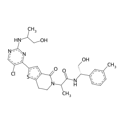 Cc1cccc([C@@H](CO)NC(=O)C(C)N2CCc3sc(-c4nc(NC(C)CO)ncc4Cl)cc3C2=O)c1